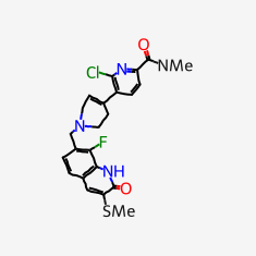 CNC(=O)c1ccc(C2=CCN(Cc3ccc4cc(SC)c(=O)[nH]c4c3F)CC2)c(Cl)n1